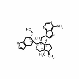 C=C1CC[C@H]2[C@H](Cn3cnc4c(N)ncnc43)[C@@H]([C@@]3(C)Cc4cn[nH]c4C[C@@H]3CO)CC[C@]12C